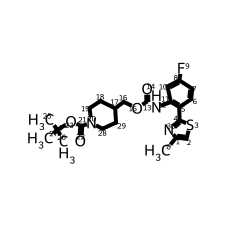 Cc1csc(-c2ccc(F)cc2NC(=O)OCC2CCN(C(=O)OC(C)(C)C)CC2)n1